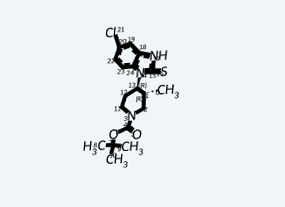 C[C@@H]1CN(C(=O)OC(C)(C)C)CC[C@H]1n1c(=S)[nH]c2cc(Cl)ccc21